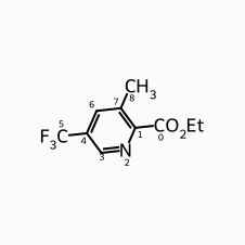 CCOC(=O)c1ncc(C(F)(F)F)cc1C